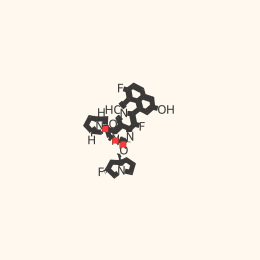 C#Cc1c(F)ccc2cc(O)cc(-c3ncc4c(N5C[C@H]6CC[C@@H](C5)N6C(=O)C=[N+]=[N-])nc(OC[C@@]56CCCN5C[C@H](F)C6)nc4c3F)c12